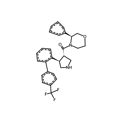 O=C([C@@H]1CNC[C@H]1c1ccccc1-c1ccc(C(F)(F)F)cc1)N1CCOC[C@@H]1c1ccccc1